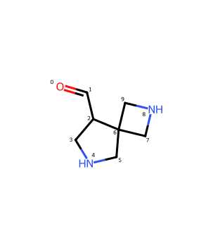 O=CC1CNCC12CNC2